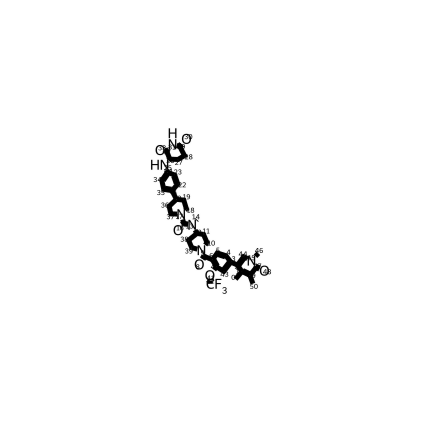 Cc1c(-c2ccc(C(=O)N3CCC(N(C)C(=O)N4CCC(c5ccc(NC6CCC(=O)NC6=O)cc5)CC4)CC3)c(OC(F)(F)F)c2)cn(C)c(=O)c1C